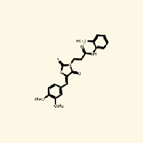 COc1ccc(/C=C2\SC(=S)N(CCC(=O)Nc3ccccc3C(=O)O)C2=O)cc1OC